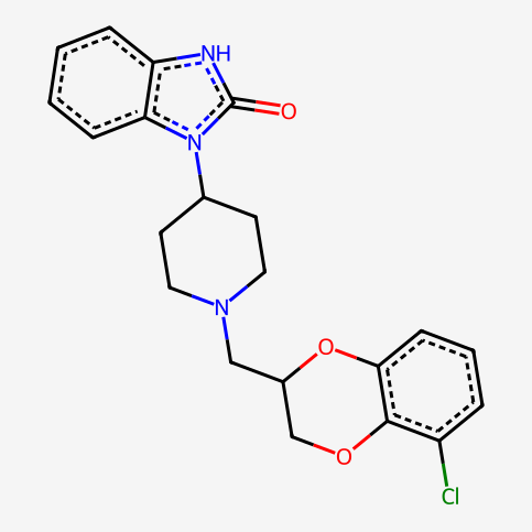 O=c1[nH]c2ccccc2n1C1CCN(CC2COc3c(Cl)cccc3O2)CC1